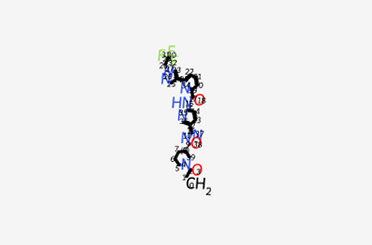 C=CC(=O)N1CCC[C@H](c2nc(-c3ccc(NC(=O)c4cccc(-c5cnn(CC(F)(F)F)c5)n4)nc3)no2)C1